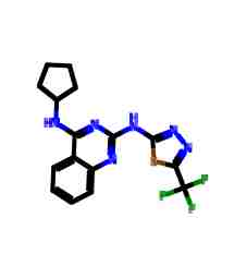 FC(F)(F)c1nnc(Nc2nc(NC3CCCC3)c3ccccc3n2)s1